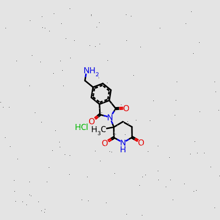 CC1(N2C(=O)c3ccc(CN)cc3C2=O)CCC(=O)NC1=O.Cl